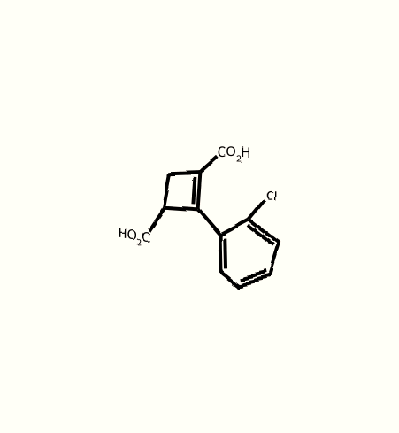 O=C(O)C1=C(c2ccccc2Cl)C(C(=O)O)C1